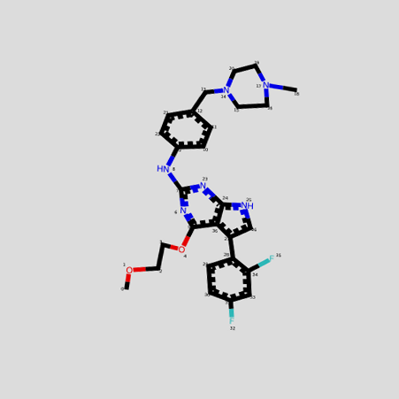 COCCOc1nc(Nc2ccc(CN3CCN(C)CC3)cc2)nc2[nH]cc(-c3ccc(F)cc3F)c12